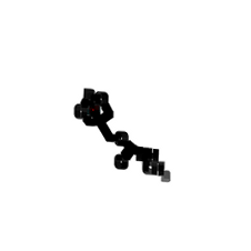 CNC(=O)OCC12COP(OC1)OC2